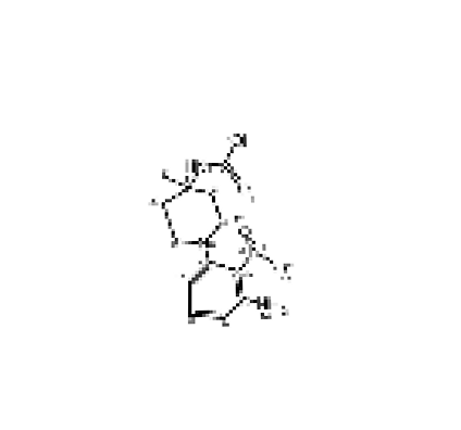 CC1(NC(=O)O)CCN(c2cccc(N)c2[N+](=O)[O-])CC1